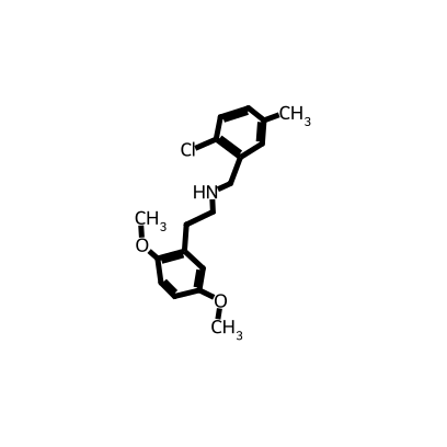 COc1ccc(OC)c(CCNCc2cc(C)ccc2Cl)c1